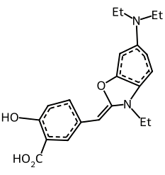 CCN(CC)c1ccc2c(c1)O/C(=C\c1ccc(O)c(C(=O)O)c1)N2CC